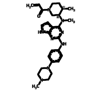 C=CC(=O)N1CC[C@@H](C)[C@@H](N(C)c2nc(Nc3ccc(N4CCN(C)CC4)cc3)nc3[nH]ccc23)C1